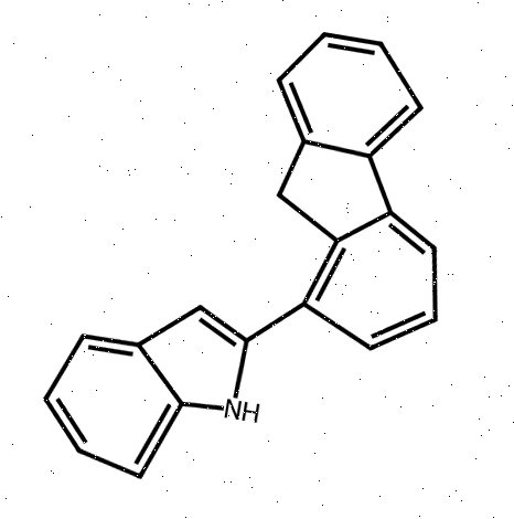 c1ccc2c(c1)Cc1c(-c3cc4ccccc4[nH]3)cccc1-2